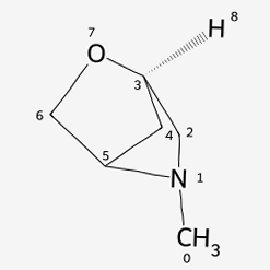 CN1C[C@H]2CC1CO2